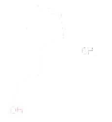 CC1C=CCC1CCO